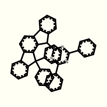 c1ccc(-c2nc(-c3ccccc3)nc(C3c4ccccc4-c4ccc5c(c43)C(c3ccccc3)(c3ccccc3)c3ccccc3-5)n2)cc1